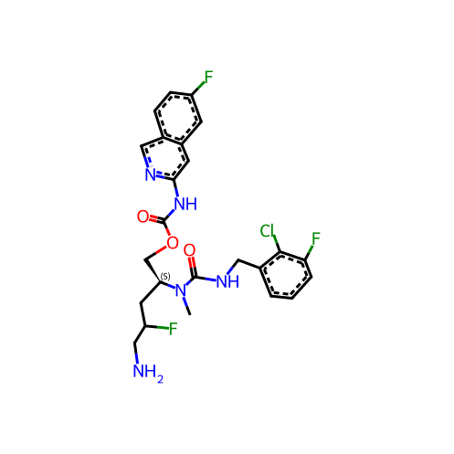 CN(C(=O)NCc1cccc(F)c1Cl)[C@H](COC(=O)Nc1cc2cc(F)ccc2cn1)CC(F)CN